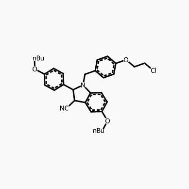 CCCCOc1ccc(C2C(C#N)c3cc(OCCCC)ccc3N2Cc2ccc(OCCCl)cc2)cc1